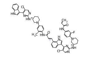 C=CC(=O)Nc1ccc(N2CCC[C@@H](Nc3ncc(Cl)c(-c4c[nH]c5c(/C=C/C(=O)Nc6ccc(N7CCC[C@@H](Nc8ncc(Cl)c(-c9c[nH]c%10ccccc9%10)n8)C7)cc6C)cccc45)n3)C2)c(F)c1